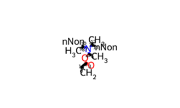 C=CC(=O)OC(C)N(C(C)CCCCCCCCC)C(C)CCCCCCCCC